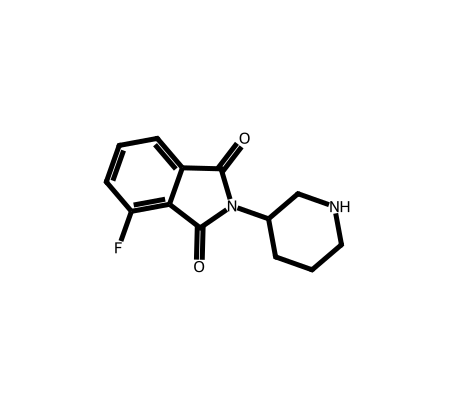 O=C1c2cccc(F)c2C(=O)N1C1CCCNC1